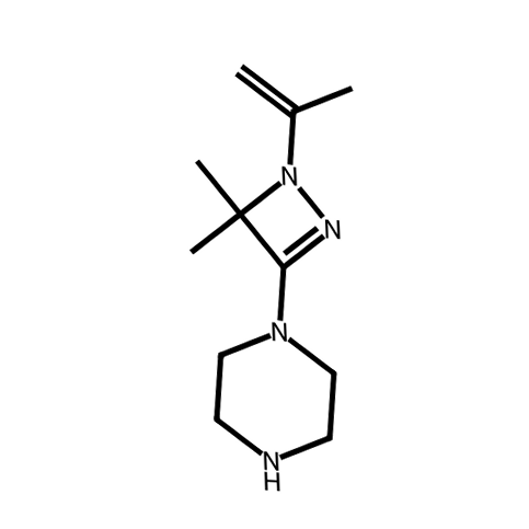 C=C(C)N1N=C(N2CCNCC2)C1(C)C